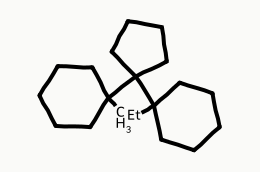 CCC1(C2(C3(C)CCCCC3)CCCC2)CCCCC1